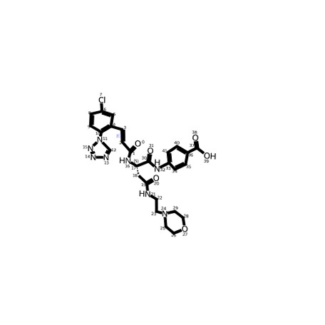 O=C(/C=C/c1cc(Cl)ccc1-n1cnnn1)N[C@@H](CC(=O)NCCN1CCOCC1)C(=O)Nc1ccc(C(=O)O)cc1